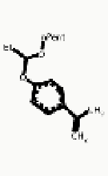 C=C(C)c1ccc(OC(CC)OCCCCC)cc1